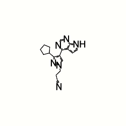 N#CCCn1cc(-c2ncnc3[nH]ccc23)c(C2CCCC2)n1